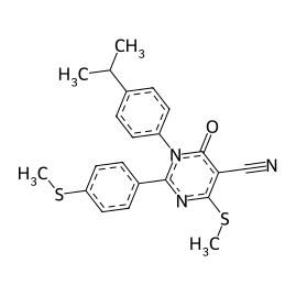 CSc1ccc(-c2nc(SC)c(C#N)c(=O)n2-c2ccc(C(C)C)cc2)cc1